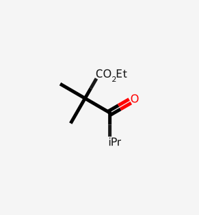 CCOC(=O)C(C)(C)C(=O)C(C)C